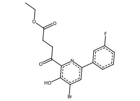 CCOC(=O)CCC(=O)c1nc(-c2cccc(F)c2)cc(Br)c1O